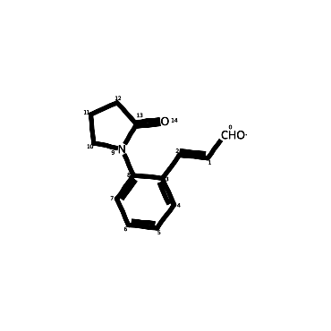 O=[C]/C=C/c1ccccc1N1CCCC1=O